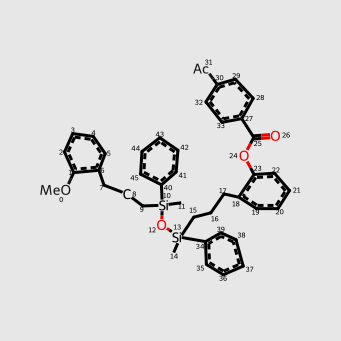 COc1ccccc1CCC[Si](C)(O[Si](C)(CCCc1ccccc1OC(=O)c1ccc(C(C)=O)cc1)c1ccccc1)c1ccccc1